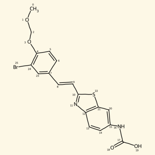 COCOc1ccc(/C=C/c2nc3ccc(NC(=O)O)cc3s2)cc1Br